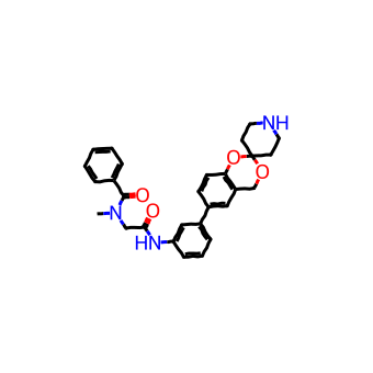 CN(CC(=O)Nc1cccc(-c2ccc3c(c2)COC2(CCNCC2)O3)c1)C(=O)c1ccccc1